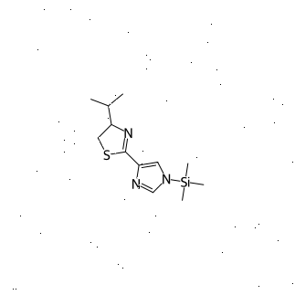 CC(C)C1CSC(c2cn([Si](C)(C)C)cn2)=N1